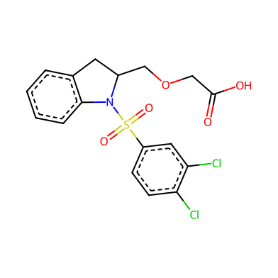 O=C(O)COCC1Cc2ccccc2N1S(=O)(=O)c1ccc(Cl)c(Cl)c1